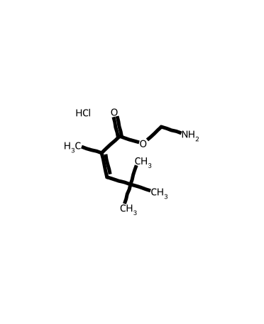 CC(=CC(C)(C)C)C(=O)OCN.Cl